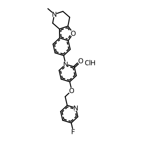 CN1CCc2oc3cc(-n4ccc(OCc5ccc(F)cn5)cc4=O)ccc3c2C1.Cl